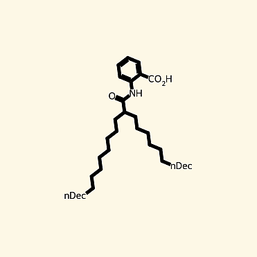 CCCCCCCCCCCCCCCCCCC(CCCCCCCCCCCCCCCC)C(=O)Nc1ccccc1C(=O)O